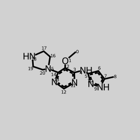 COc1c(Nc2cc(C)[nH]n2)ncnc1N1CCNCC1